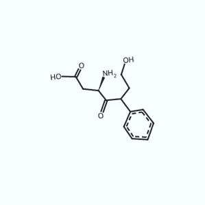 N[C@H](CC(=O)O)C(=O)C(CCO)c1ccccc1